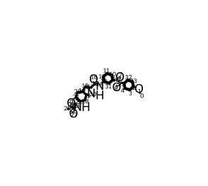 COc1ccc(S(=O)(=O)c2cccc(NC(=O)C3=CC4=CC=C(NS(C)(=O)=O)CC4=N3)c2)cc1